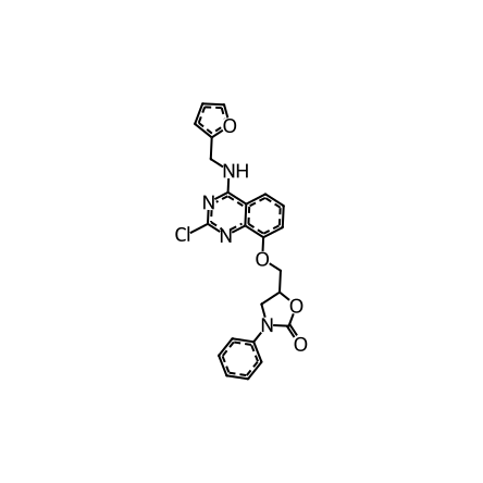 O=C1OC(COc2cccc3c(NCc4ccco4)nc(Cl)nc23)CN1c1ccccc1